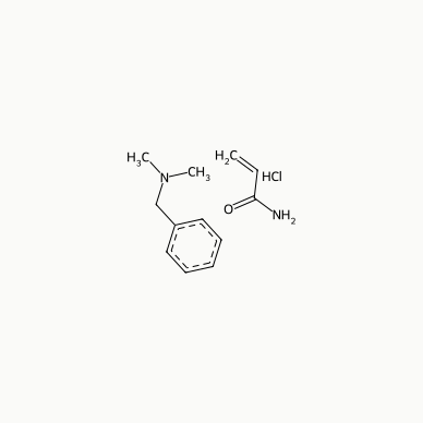 C=CC(N)=O.CN(C)Cc1ccccc1.Cl